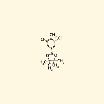 Cc1c(Cl)cc(B2OC(C)(C)C(C)(C)O2)cc1Cl